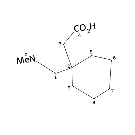 CNCC1(CC(=O)O)CCCCC1